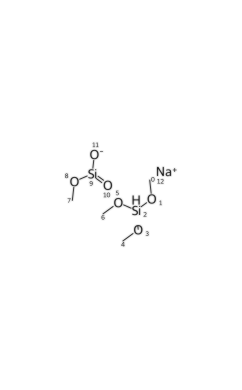 CO[SiH](OC)OC.CO[Si](=O)[O-].[Na+]